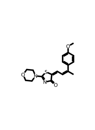 COc1ccc(/C(C)=C\C=C2\SC(N3CCOCC3)=NC2=O)cc1